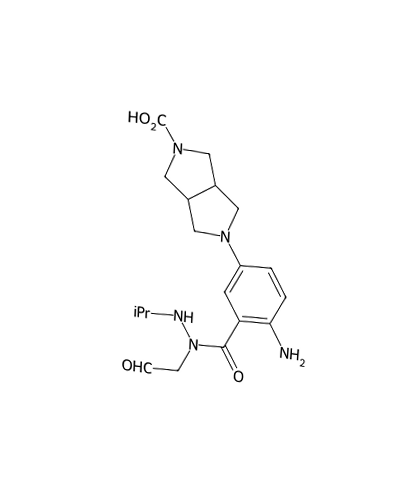 CC(C)NN(CC=O)C(=O)c1cc(N2CC3CN(C(=O)O)CC3C2)ccc1N